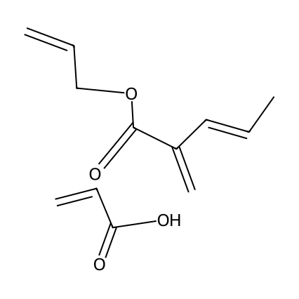 C=CC(=O)O.C=CCOC(=O)C(=C)C=CC